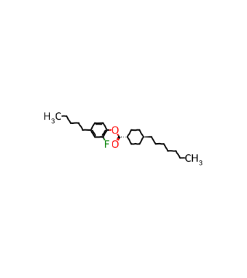 CCCCCCC[C@H]1CC[C@H](C(=O)Oc2ccc(CCCCC)cc2F)CC1